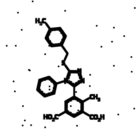 Cc1ccc(CSc2nnc(-c3cc(C(=O)O)cc(C(=O)O)c3C)n2-c2ccccc2)cc1